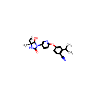 CC[C@@]1(C)NC(=O)N(c2ccc(Oc3ccc(C#N)c(C(C)C)c3)nc2)C1O